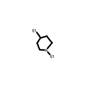 [CH2]CN1CCC(CC)CC1